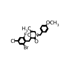 COc1ccc(CN2C[C@H](C)OC(Cc3c(F)cc(Cl)cc3Br)C2=O)cc1